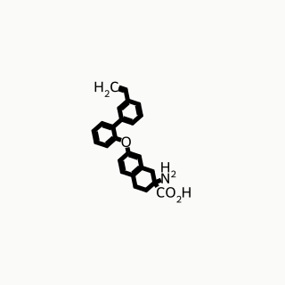 C=Cc1cccc(-c2ccccc2Oc2ccc3c(c2)CC(N)(C(=O)O)CC3)c1